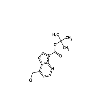 CC(C)(C)OC(=O)n1ccc2c(CCl)ccnc21